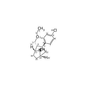 CCOC[C@@H]1[C@@H](c2ccc(Cl)cc2)C[C@@H]2CC[C@H]1N2C